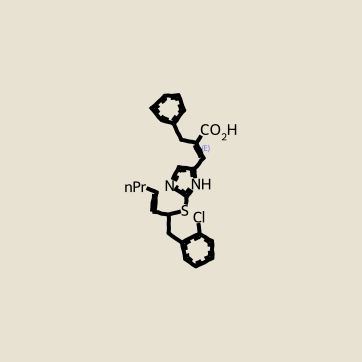 CCCC=CC(Cc1ccccc1Cl)Sc1ncc(/C=C(\Cc2ccccc2)C(=O)O)[nH]1